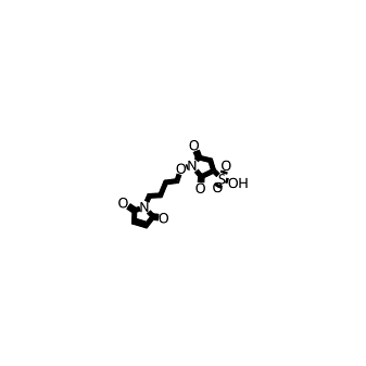 O=C1C=CC(=O)N1CCCCON1C(=O)CC(S(=O)(=O)O)C1=O